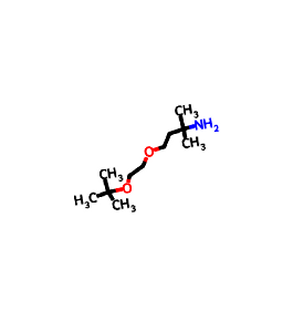 CC(C)(N)CCOCCOC(C)(C)C